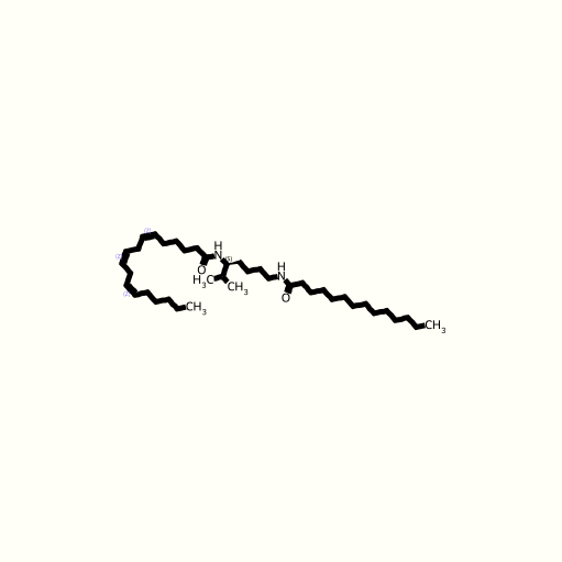 CCCCC/C=C\C/C=C\C/C=C\CCCCC(=O)N[C@@H](CCCCNC(=O)CCCCCCCCCCCCC)C(C)C